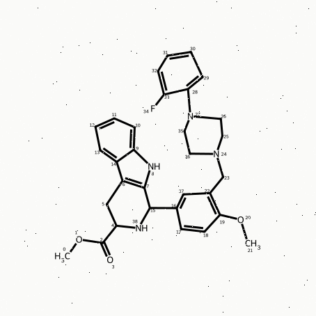 COC(=O)C1Cc2c([nH]c3ccccc23)C(c2ccc(OC)c(CN3CCN(c4ccccc4F)CC3)c2)N1